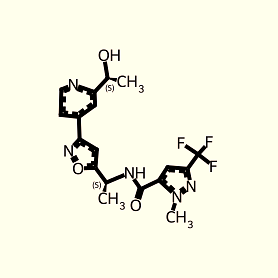 C[C@H](O)c1cc(-c2cc([C@H](C)NC(=O)c3cc(C(F)(F)F)nn3C)on2)ccn1